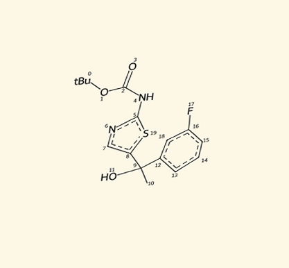 CC(C)(C)OC(=O)Nc1ncc(C(C)(O)c2cccc(F)c2)s1